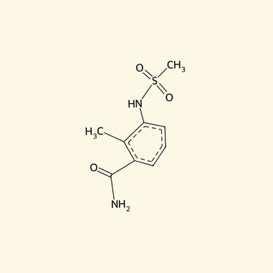 Cc1c(NS(C)(=O)=O)cccc1C(N)=O